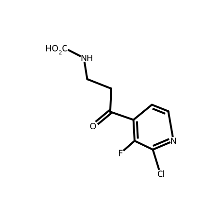 O=C(O)NCCC(=O)c1ccnc(Cl)c1F